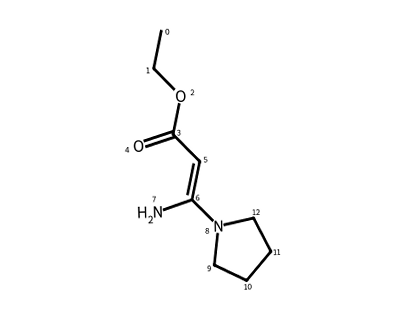 CCOC(=O)/C=C(\N)N1CCCC1